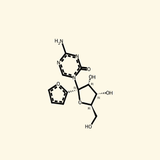 Nc1ncn([C@]2(c3ccco3)O[C@H](CO)[C@@H](O)[C@H]2O)c(=O)n1